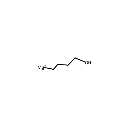 OCCC[CH2][Mg+2]